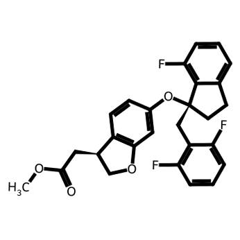 COC(=O)C[C@@H]1COc2cc(O[C@@]3(Cc4c(F)cccc4F)CCc4cccc(F)c43)ccc21